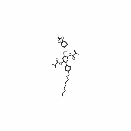 C=C(C)C(=O)Oc1cc(-c2ccc(CCCCCCCCC)cc2)c(OC(=O)C(=C)C)cc1COc1ccc2oc(=O)oc2c1